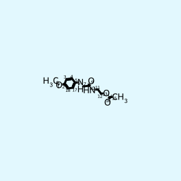 COc1ccc(NCC(=O)NCCOC(C)=O)cc1